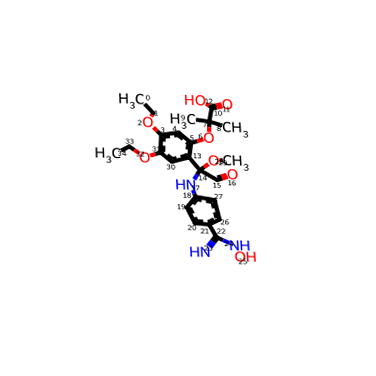 CCOc1cc(OC(C)(C)C(=O)O)c(C(C=O)(Nc2ccc(C(=N)NO)cc2)OC)cc1OCC